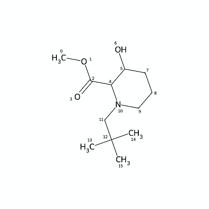 COC(=O)C1C(O)CCCN1CC(C)(C)C